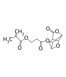 C=C(C)C(=O)OCCC(=O)OC1C2CC3C(=O)OC1C3O2